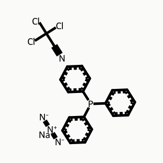 N#CC(Cl)(Cl)Cl.[N-]=[N+]=[N-].[Na+].c1ccc(P(c2ccccc2)c2ccccc2)cc1